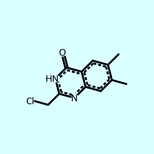 Cc1cc2nc(CCl)[nH]c(=O)c2cc1C